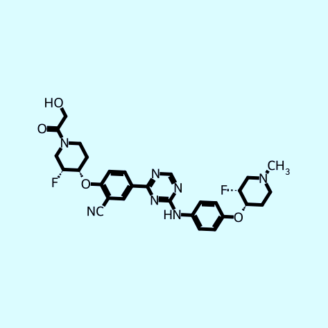 CN1CC[C@H](Oc2ccc(Nc3ncnc(-c4ccc(O[C@H]5CCN(C(=O)CO)C[C@H]5F)c(C#N)c4)n3)cc2)[C@H](F)C1